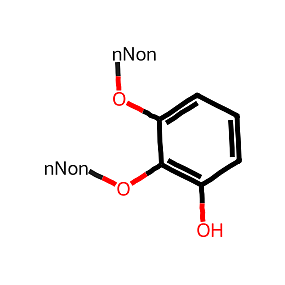 CCCCCCCCCOc1cccc(O)c1OCCCCCCCCC